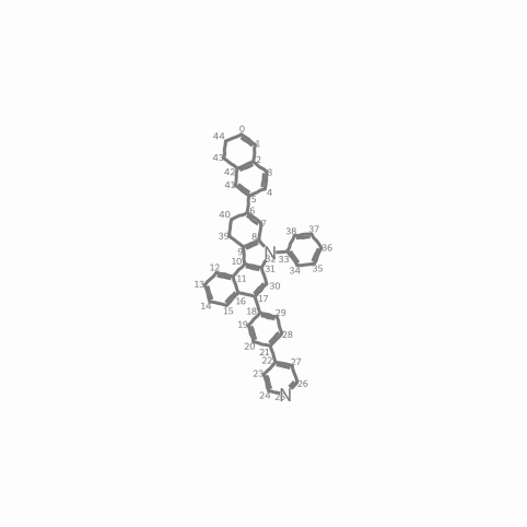 C1=Cc2ccc(C3=Cc4c(c5c6ccccc6c(-c6ccc(-c7ccncc7)cc6)cc5n4-c4ccccc4)CC3)cc2CC1